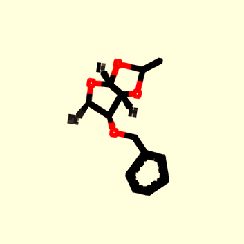 CC[C@H]1O[C@@H]2OC(C)O[C@@H]2[C@H]1OCc1ccccc1